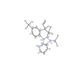 C=CC1(C)c2cc(C(C)(C)C)ccc2N2c3ncccc3N(C(C)C)C2C1(C)C